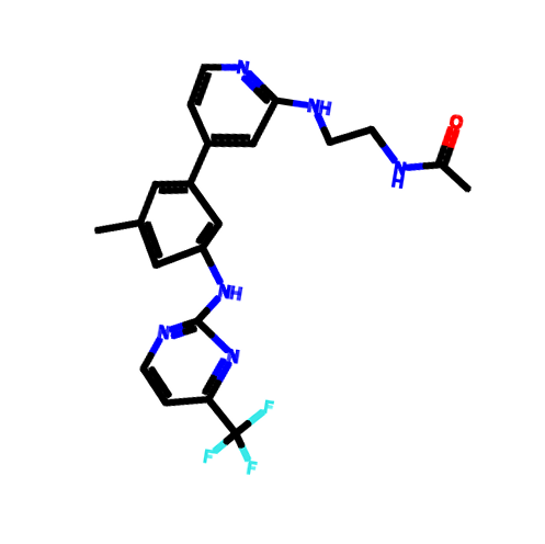 CC(=O)NCCNc1cc(-c2cc(C)cc(Nc3nccc(C(F)(F)F)n3)c2)ccn1